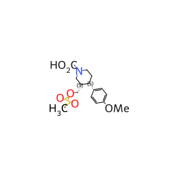 COc1ccc([C@H]2CCN(C(=O)O)C[C@H]2COS(C)(=O)=O)cc1